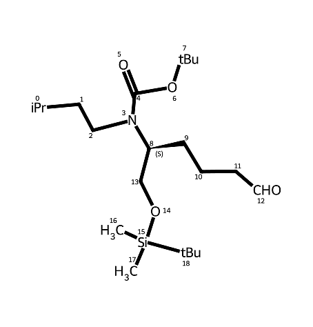 CC(C)CCN(C(=O)OC(C)(C)C)[C@@H](CCCC=O)CO[Si](C)(C)C(C)(C)C